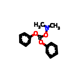 CN(C)OB(Oc1ccccc1)Oc1ccccc1